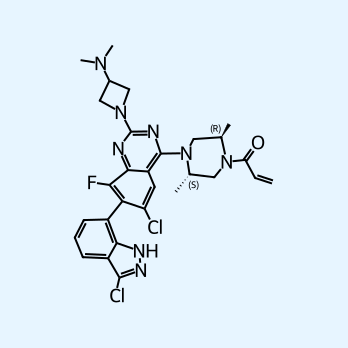 C=CC(=O)N1C[C@H](C)N(c2nc(N3CC(N(C)C)C3)nc3c(F)c(-c4cccc5c(Cl)n[nH]c45)c(Cl)cc23)C[C@H]1C